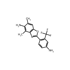 Cc1cc2oc(-c3ccc(N)cc3C(F)(F)F)nc2c(C)c1N